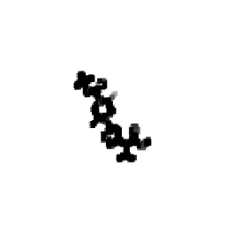 COC(=O)C(c1cc(N2C[C@@H](C)N(C(=O)OC(C)(C)C)C[C@@H]2C)no1)C(C)C